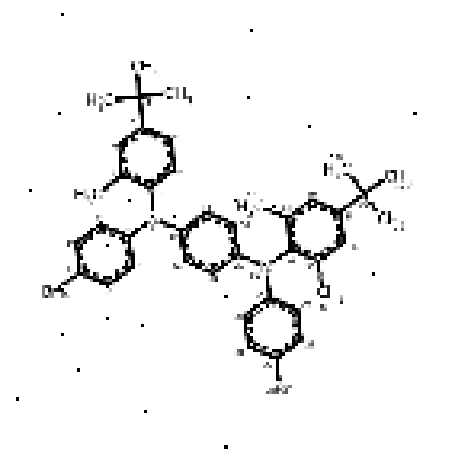 Cc1cc(C(C)(C)C)ccc1N(c1ccc(Br)cc1)c1ccc(N(c2ccc(Br)cc2)c2c(C)cc(C(C)(C)C)cc2C)cc1